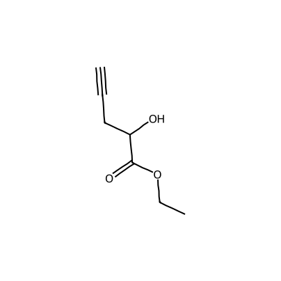 C#CCC(O)C(=O)OCC